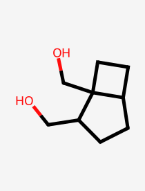 OCC1CCC2CCC12CO